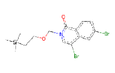 C[Si](C)(C)CCOCn1cc(Br)c2cc(Br)ccc2c1=O